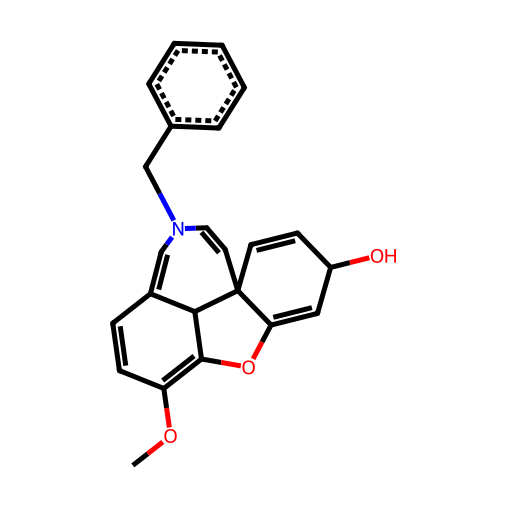 COC1=C2OC3=CC(O)C=CC34C=CN(Cc3ccccc3)C=C(C=C1)C24